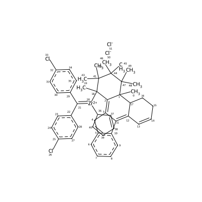 CC12C(=C3Cc4ccccc4C3=C3C=CCCC31)[C](C)([Zr+2](=[C](c1ccc(Cl)cc1)c1ccc(Cl)cc1)[CH]1C=CC=C1)C(C)(C)C(C)(C)C2(C)C.[Cl-].[Cl-]